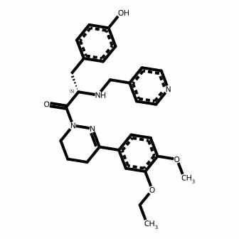 CCOc1cc(C2=NN(C(=O)[C@H](Cc3ccc(O)cc3)NCc3ccncc3)CCC2)ccc1OC